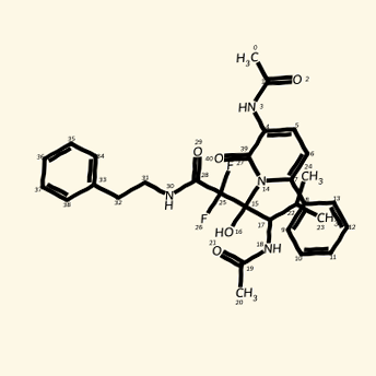 CC(=O)Nc1ccc(-c2ccccc2)n(C(O)(C(NC(C)=O)C(C)C)C(F)(F)C(=O)NCCc2ccccc2)c1=O